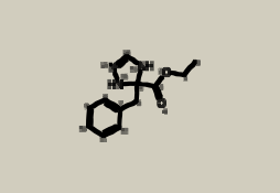 CCOC(=O)C1(Cc2ccccc2)NC=NN1